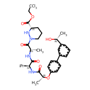 CC(C)[C@H](NC(=O)[C@@H](C)Oc1ccc(-c2cccc([C@@H](C)O)c2)cc1)C(=O)N[C@@H](C)C(=O)N1CCC[C@@H](C(=O)OCC(Cl)(Cl)Cl)N1